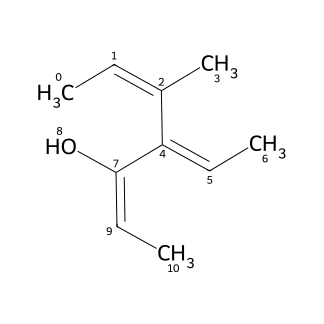 C\C=C(C)/C(=C\C)C(/O)=C\C